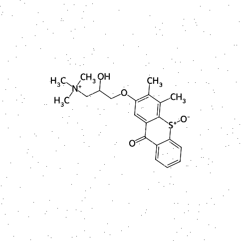 Cc1c(OCC(O)C[N+](C)(C)C)cc2c(=O)c3ccccc3[s+]([O-])c2c1C